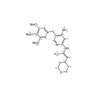 COc1cc(Cc2cnc(N/C(C)=N/C3CCCCC3)nc2N)cc(OC)c1OC